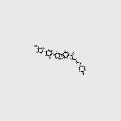 O=C(NCCCN1CCC(F)CC1)c1ccc2c(c1)sc1nc(-c3ccc([C@@H]4CCC(O)N4)cc3F)cn12